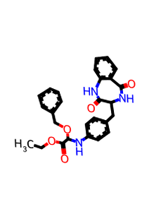 CCOC(=O)C(Nc1ccc(CC2NC(=O)c3ccccc3NC2=O)cc1)OCc1ccccc1